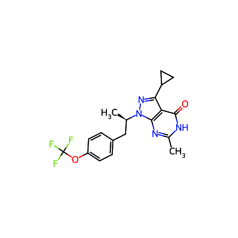 Cc1nc2c(c(C3CC3)nn2[C@H](C)Cc2ccc(OC(F)(F)F)cc2)c(=O)[nH]1